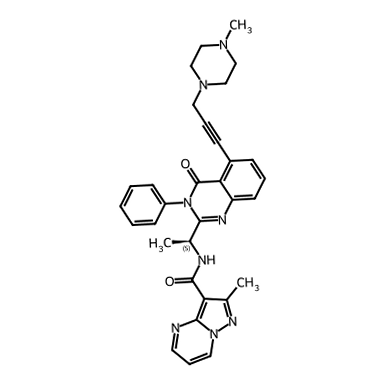 Cc1nn2cccnc2c1C(=O)N[C@@H](C)c1nc2cccc(C#CCN3CCN(C)CC3)c2c(=O)n1-c1ccccc1